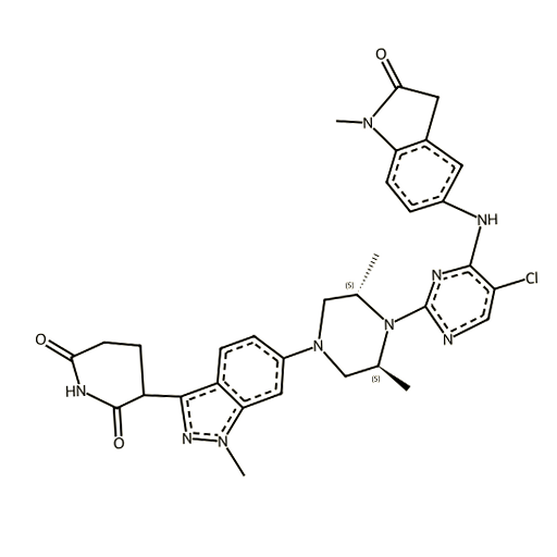 C[C@H]1CN(c2ccc3c(C4CCC(=O)NC4=O)nn(C)c3c2)C[C@H](C)N1c1ncc(Cl)c(Nc2ccc3c(c2)CC(=O)N3C)n1